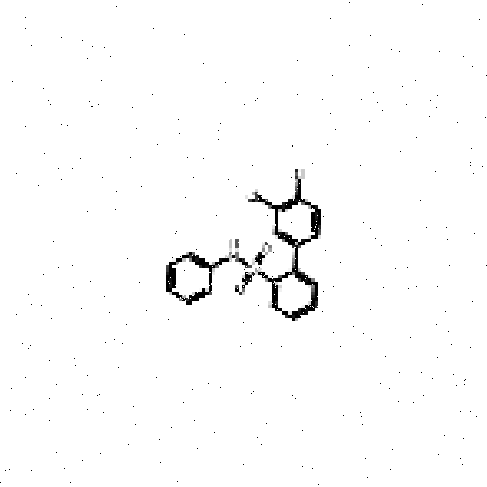 O=S(=O)(Nc1ccccc1)c1ccccc1-c1ccc(Cl)c(Cl)c1